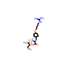 CCCC(C)S(=O)(=O)N[C@@H](Cc1ccc(OCCCCNC(=N)N)cc1)C(=O)O